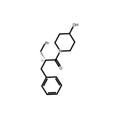 C[C](C)C[C@@H](Cc1ccccc1)C(=O)N1CCC(O)CC1